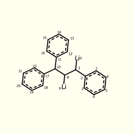 [Li][CH](c1ccccc1)[CH]([Li])C(c1ccccc1)c1ccccc1